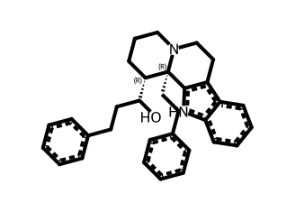 OC(CCc1ccccc1)[C@@H]1CCCN2CCc3c([nH]c4ccccc34)[C@@]12CCc1ccccc1